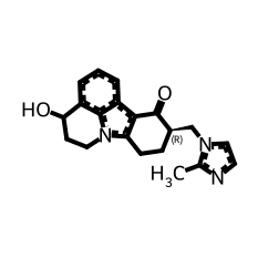 Cc1nccn1C[C@H]1CCc2c(c3cccc4c3n2CCC4O)C1=O